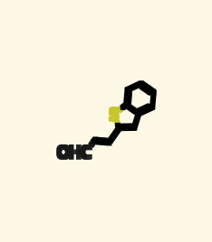 O=C/C=C/c1cc2ccccc2s1